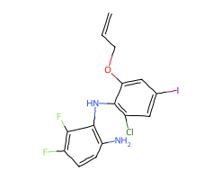 C=CCOc1cc(I)cc(Cl)c1Nc1c(N)ccc(F)c1F